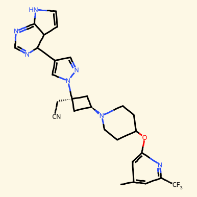 Cc1cc(OC2CCN([C@H]3C[C@@](CC#N)(n4cc(C5N=CN=C6NC=CC65)cn4)C3)CC2)nc(C(F)(F)F)c1